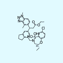 CCOC(=O)CC(c1cc2c(c(CN3C[C@@H](CC)Oc4ccc(Cl)cc4S3(O)O)c1)CCC2)c1ccc2c(nnn2C)c1C